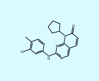 Cc1ccc(Nc2ncc3ccc(=O)n(C4CCCC4)c3n2)cc1Cl